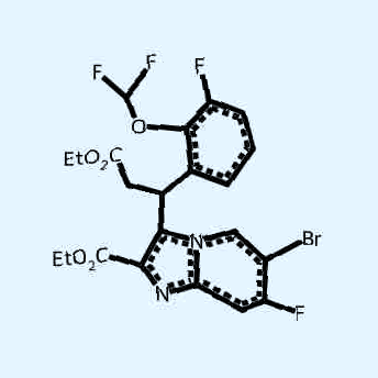 CCOC(=O)CC(c1cccc(F)c1OC(F)F)c1c(C(=O)OCC)nc2cc(F)c(Br)cn12